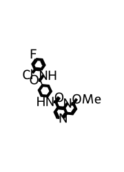 COc1ccc2nccc(C(=O)N[C@H]3CC[C@H](C(=O)Nc4ccc(F)cc4Cl)CC3)c2n1